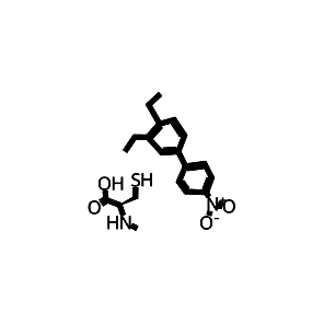 CCc1ccc(-c2ccc([N+](=O)[O-])cc2)cc1CC.CN[C@H](CS)C(=O)O